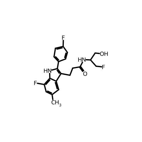 Cc1cc(F)c2[nH]c(-c3ccc(F)cc3)c(CCC(=O)NC(CO)CF)c2c1